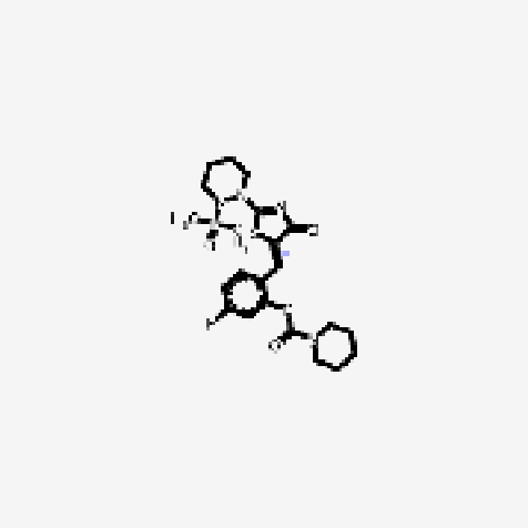 CP(C)(=O)N1CCCCN1C1=NC(=O)/C(=C/c2ccc(F)cc2OC(=O)N2CCCCC2)S1